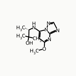 COc1cc(N[C@@H](C)C(C)(C)O)n2ncnc2n1